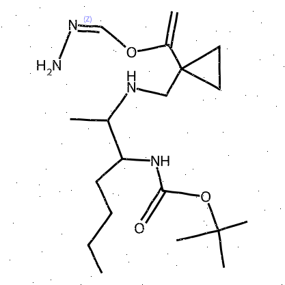 C=C(O/C=N\N)C1(CNC(C)C(CCCC)NC(=O)OC(C)(C)C)CC1